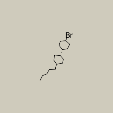 CCCCC[C@H]1CC[C@H](C2CCC(Br)CC2)CC1